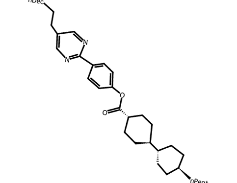 CCCCCCCCCCCCc1cnc(-c2ccc(OC(=O)[C@H]3CC[C@H]([C@H]4CC[C@H](CCCCC)CC4)CC3)cc2)nc1